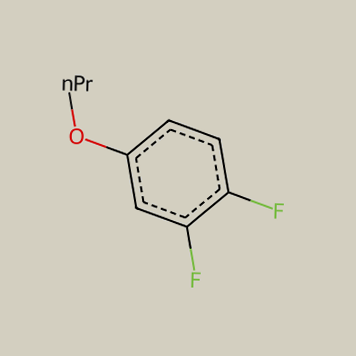 CCCOc1ccc(F)c(F)c1